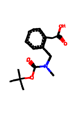 CN(Cc1ccccc1C(=O)O)C(=O)OC(C)(C)C